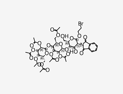 CC(=O)OC[C@H]1O[C@@H](O[C@@H]2[C@H](OC(C)=O)[C@@H](OC(C)=O)[C@H](O[C@H]3[C@H](O)[C@H](N4C(=O)c5ccccc5C4=O)[C@@H](OCCBr)O[C@@H]3CO)O[C@@H]2COC(C)=O)[C@H](OC(C)=O)[C@@H](OC(C)=O)[C@H]1OC(C)=O